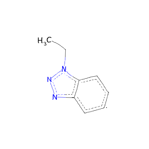 CCn1nnc2c[c]ccc21